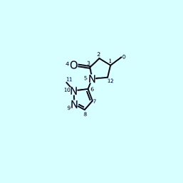 CC1CC(=O)N(c2ccnn2C)C1